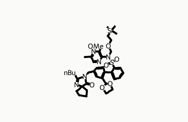 CCCCC1=NC2(CCCC2)C(=O)N1Cc1ccc(-c2ccccc2S(=O)(=O)N(COCC[Si](C)(C)C)c2ncc(C)nc2OC)c(C2OCCO2)c1